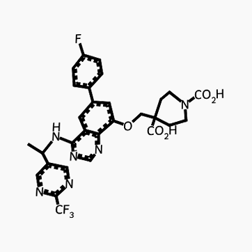 CC(Nc1ncnc2c(OCC3(C(=O)O)CCN(C(=O)O)CC3)cc(-c3ccc(F)cc3)cc12)c1cnc(C(F)(F)F)nc1